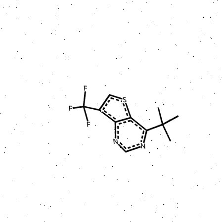 CC(C)(C)c1ncnc2c(C(F)(F)F)csc12